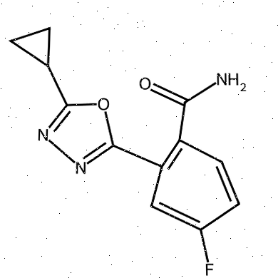 NC(=O)c1ccc(F)cc1-c1nnc(C2CC2)o1